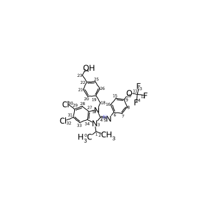 CC(C)n1/c(=N/c2ccc(OC(F)(F)F)cc2)n(Cc2ccc(CO)cc2)c2cc(Cl)c(Cl)cc21